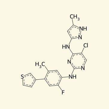 Cc1cc(Nc2nc(Nc3cc(C)c(-c4ccsc4)cc3F)ncc2Cl)n[nH]1